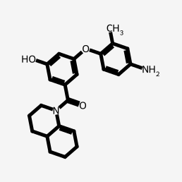 Cc1cc(N)ccc1Oc1cc(O)cc(C(=O)N2CCCC3CCCC=C32)c1